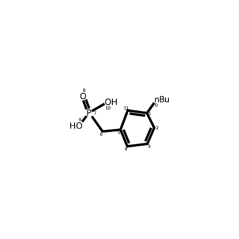 CCCCc1cccc(CP(=O)(O)O)c1